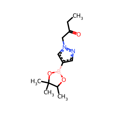 CCC(=O)Cn1cc(B2OC(C)C(C)(C)O2)cn1